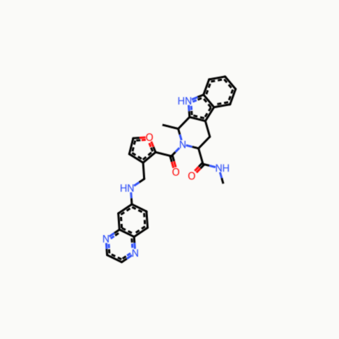 CNC(=O)C1Cc2c([nH]c3ccccc23)C(C)N1C(=O)c1occc1CNc1ccc2nccnc2c1